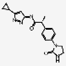 C[C@H](C(=O)/N=C1/C=C(C2CC2)N=N1)c1ccc(N2CCNC2=O)cc1